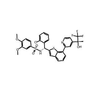 COc1ccc(S(=O)(=O)N[C@@H](c2cc3cccc(-c4cc([C@@](C)(O)C(F)(F)F)ccn4)c3s2)c2ccccc2Cl)cc1OC